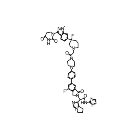 Cn1nc(N2CCC(=O)NC2=O)c2ccc(C3(F)CCCN(CC(=O)N4CCN(c5ccc(-c6cc(F)c7c(c6)C(=O)N(C(C(=O)Nc6nccs6)c6ncn8c6CCC8)C7)cc5)CC4)CC3)cc21